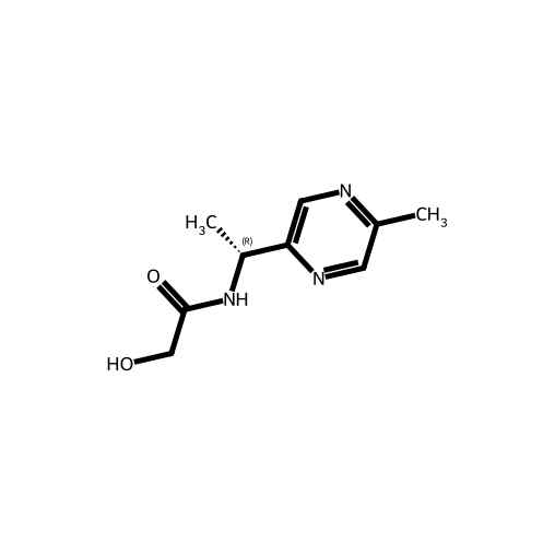 Cc1cnc([C@@H](C)NC(=O)CO)cn1